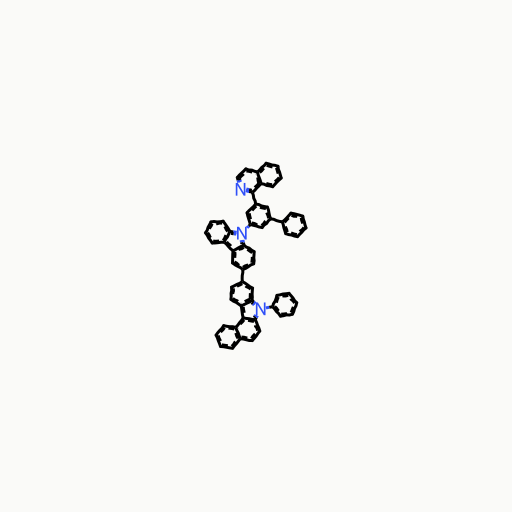 c1ccc(-c2cc(-c3nccc4ccccc34)cc(-n3c4ccccc4c4cc(-c5ccc6c7c8ccccc8ccc7n(-c7ccccc7)c6c5)ccc43)c2)cc1